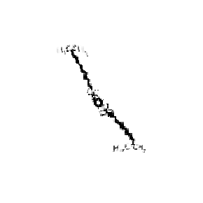 CC(C)CCCCCCCCCCOC(=O)OC1CCC(OC(=O)OCCCCCCCCCCC(C)C)CC1